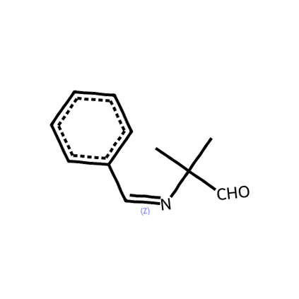 CC(C)(C=O)/N=C\c1ccccc1